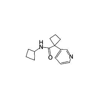 O=C(NC1CCC1)C1(c2cccnc2)CCC1